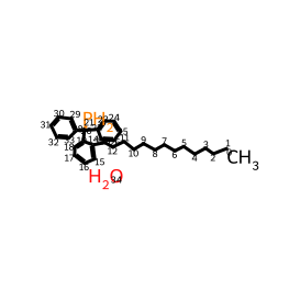 CCCCCCCCCCCCCCc1ccccc1C(P)(c1ccccc1)c1ccccc1.O